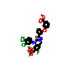 COC(=O)c1cccc(Oc2cccc(-c3nn(Cc4ccc(CP(=O)(OF)OF)c(F)c4)c(=Nc4ccc(Cl)c(Cl)c4)s3)c2)c1